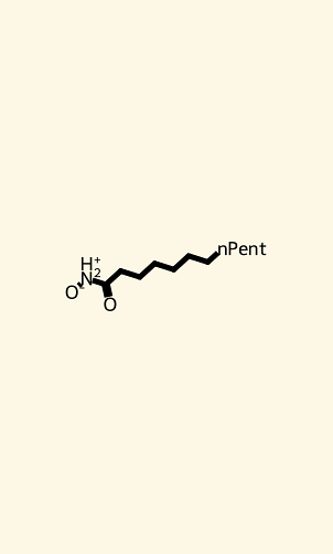 CCCCCCCCCCCC(=O)[NH2+][O-]